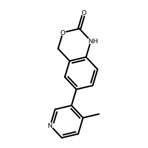 Cc1ccncc1-c1ccc2c(c1)COC(=O)N2